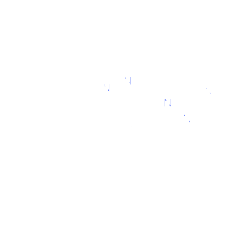 c1ccc(-c2nnc(-n3cncn3)s2)cc1